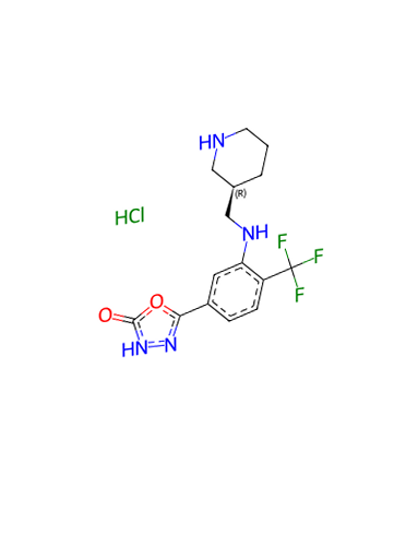 Cl.O=c1[nH]nc(-c2ccc(C(F)(F)F)c(NC[C@@H]3CCCNC3)c2)o1